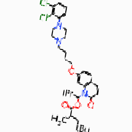 CC(CC(C)(C)C)C(=O)OC(C(C)C)N1C(=O)CCc2ccc(OCCCCN3CCN(c4cccc(Cl)c4Cl)CC3)cc21